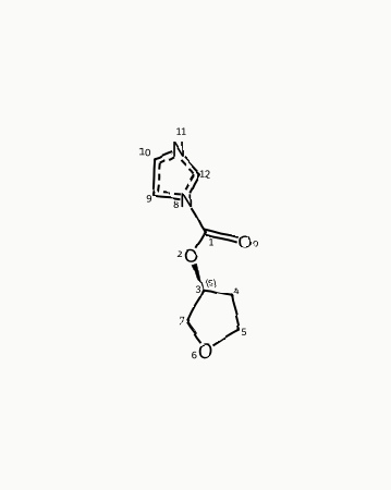 O=C(O[C@H]1CCOC1)n1ccnc1